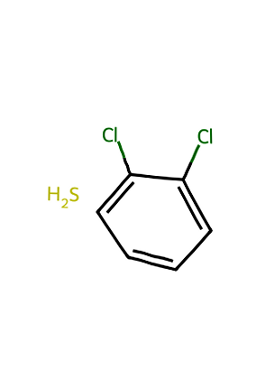 Clc1ccccc1Cl.S